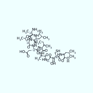 CC[C@H](C)[C@H](NC(=O)[C@H](CCC(=O)O)NC(=O)[C@H](CC(C)C)NC(=O)[C@H](CC(C)C)NC(=O)[C@H](C)N)C(=O)N[C@@H](C)C(=O)N[C@@H](CO)C(=O)N[C@@H](CS)C(=O)N[C@@H](CC(C)C)C(=O)O